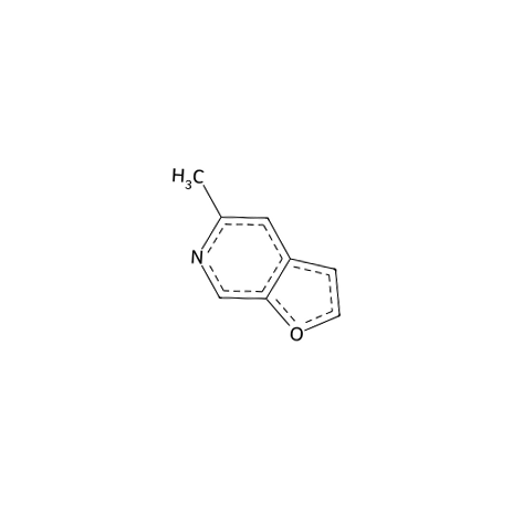 Cc1cc2ccoc2cn1